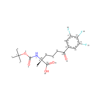 CC(C)(C)OC(=O)N[C@](C)(CCCC(=O)c1cc(F)c(F)c(F)c1)C(=O)O